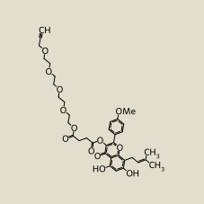 C#CCOCCOCCOCCOCCOC(=O)CCC(=O)Oc1c(-c2ccc(OC)cc2)oc2c(CC=C(C)C)c(O)cc(O)c2c1=O